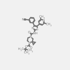 Cc1cc(-c2sc(NC(=O)N3CCN(C(=O)OC(C)(C)C)C4(CC4)C3)nc2-c2cccc(C#N)c2)cc(C)n1